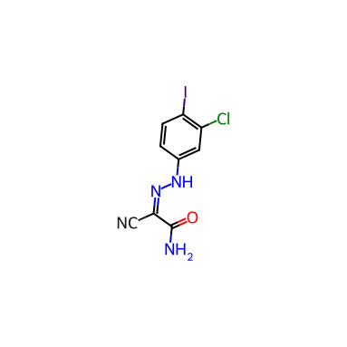 N#CC(=NNc1ccc(I)c(Cl)c1)C(N)=O